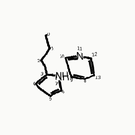 CCCc1ccc[nH]1.c1ccncc1